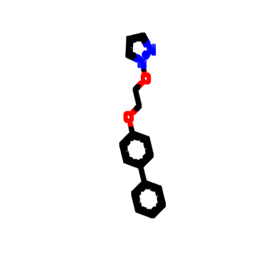 c1ccc(-c2ccc(OCCOn3cccn3)cc2)cc1